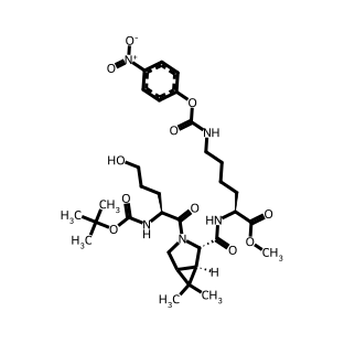 COC(=O)[C@H](CCCCNC(=O)Oc1ccc([N+](=O)[O-])cc1)NC(=O)[C@@H]1[C@@H]2C(CN1C(=O)[C@H](CCCO)NC(=O)OC(C)(C)C)C2(C)C